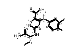 CC[C@@H](Nc1nnc(C(N)=O)c(Nc2ccc(C)c(C)c2)n1)C(N)=O